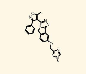 Cc1onc(-c2ccccc2)c1-c1nnc2n1Cc1ccc(OCc3ncn(C)n3)cc1-2